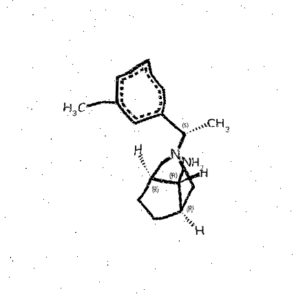 Cc1cccc([C@H](C)N2C[C@H]3CC[C@@H]2[C@@H]3N)c1